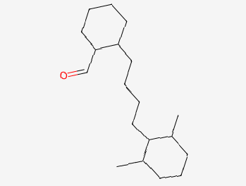 CC1CCCC(C)C1CCCCC1CCCCC1C=O